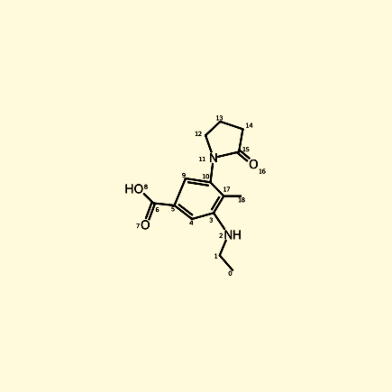 CCNc1cc(C(=O)O)cc(N2CCCC2=O)c1C